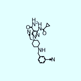 N#CC[C@]1(n2cc(C(N)=O)c(NC(=O)C3CC3)n2)CC[C@H](NCc2cccc(C#N)c2)CC1